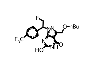 CCCCOCc1nn(C(CF)c2ccc(C(F)(F)F)cc2)c2nc(O)[nH]c(=O)c12